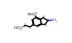 COc1cc(CCC(=O)O)cc2c1CC(N)C2